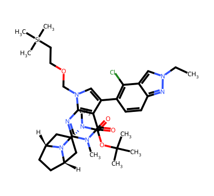 CCn1cc2c(Cl)c(-c3cn(COCC[Si](C)(C)C)c4nc(N5[C@@H]6CC[C@H]5C[C@@H](N(C)C(=O)OC(C)(C)C)C6)n(C)c(=O)c34)ccc2n1